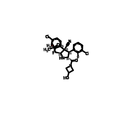 CC(C)(C)C[C@@H]1N[C@@H](C(=O)N2CC(O)C2)[C@H](c2cccc(Cl)c2F)[C@@]1(C#N)c1ccc(Cl)cc1F